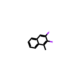 Cc1c(I)c(I)cc2ccccc12